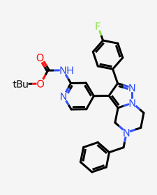 CC(C)(C)OC(=O)Nc1cc(-c2c(-c3ccc(F)cc3)nn3c2CN(Cc2ccccc2)CC3)ccn1